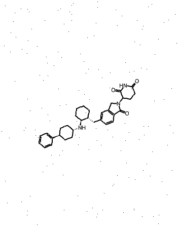 O=C1CCC(N2Cc3cc(C[C@H]4CCCC[C@@H]4N[C@H]4CC[C@H](c5ccccc5)CC4)ccc3C2=O)C(=O)N1